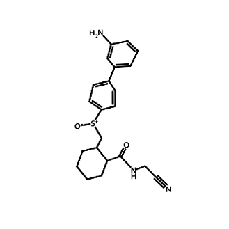 N#CCNC(=O)C1CCCCC1C[S+]([O-])c1ccc(-c2cccc(N)c2)cc1